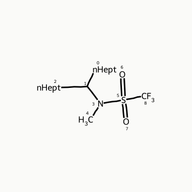 CCCCCCCC(CCCCCCC)N(C)S(=O)(=O)C(F)(F)F